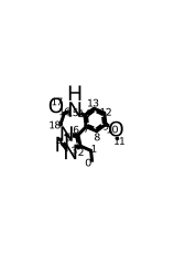 CCc1nnn2c1-c1cc(OC)ccc1NC(=O)C2